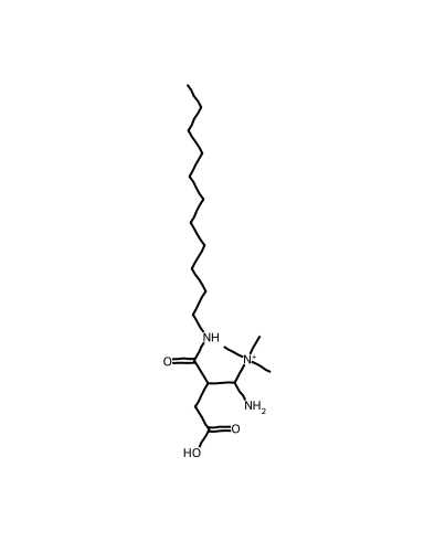 CCCCCCCCCCCNC(=O)C(CC(=O)O)C(N)[N+](C)(C)C